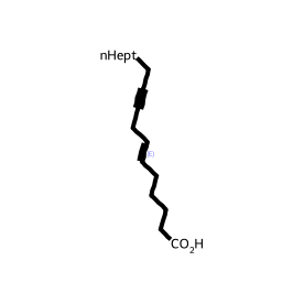 CCCCCCCCC#CC/C=C/CCCCC(=O)O